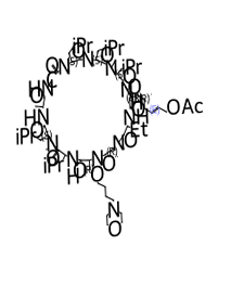 CCC1NC(=O)[C@@H]2[C@@H]([C@H](C)C/C=C/COC(C)=O)ON2C(=O)[C@H](C(C)C)N(C)C(=O)[C@H](CC(C)C)N(C)C(=O)[C@H](CC(C)C)N(C)C(=O)CNC(=O)C(C)NC(=O)[C@H](CC(C)C)N(C)C(=O)C(C(C)C)NC(=O)C([C@@H](C)OCCCCN2CCOCC2)N(C)C(=O)[C@@H](C)N(C)C1=O